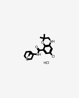 CC1(C)CNc2cc(Cl)cc(C(=O)NC3CN4CCC3CC4)c2O1.Cl